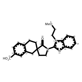 COCCn1c(N2CCC3(CCc4ccc(C(=O)O)cc4C3)C2=O)nc2ccccc21